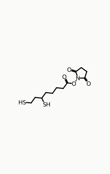 O=C(CCCCC(S)CCS)ON1C(=O)CCC1=O